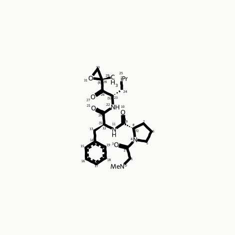 CNCC(=O)N1CCC[C@H]1C(=O)N[C@@H](Cc1ccccc1)C(=O)N[C@@H](CC(C)C)C(=O)[C@@]1(C)CO1